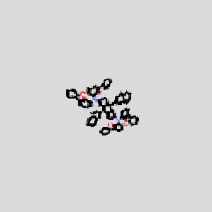 c1ccc2cc(-c3c4ccc(N(c5cccc6c5oc5ccccc56)c5cccc6c5oc5ccccc56)cc4c(-c4ccc5ccccc5c4)c4ccc(N(c5cccc6c5oc5ccccc56)c5cccc6c5oc5ccccc56)cc34)ccc2c1